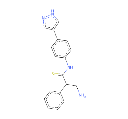 NCC(C(=S)Nc1ccc(-c2cn[nH]c2)cc1)c1ccccc1